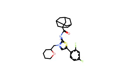 O=C(/N=c1\sc(-c2ccc(F)cc2F)cn1CC1CCCCO1)C12CC3CC(CC(C3)C1)C2